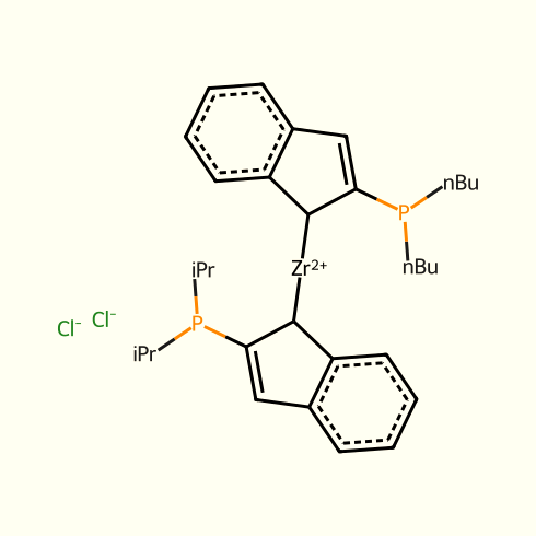 CCCCP(CCCC)C1=Cc2ccccc2[CH]1[Zr+2][CH]1C(P(C(C)C)C(C)C)=Cc2ccccc21.[Cl-].[Cl-]